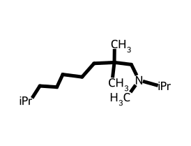 CC(C)CCCCCC(C)(C)CN(C)C(C)C